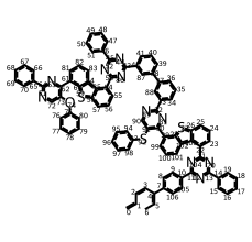 C=C/C=C\C(=C/C)c1ccc(-c2nc(-c3ccccc3)nc(-c3cccc4sc5c(-c6nc(-c7cccc(-c8cccc(-c9nc(-c%10ccccc%10)nc(-c%10cccc%11sc%12c(-c%13nc(-c%14ccccc%14)ncc%13Oc%13ccccc%13)cccc%12c%10%11)n9)c8)c7)ncc6Sc6ccccc6)cccc5c34)n2)cc1